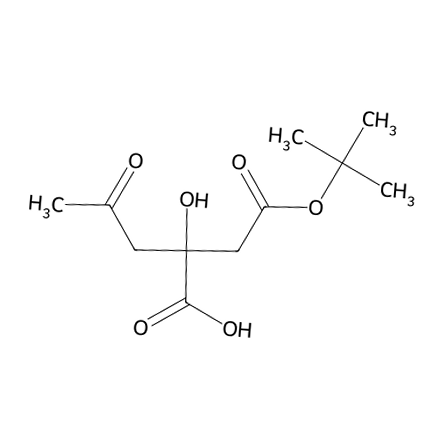 CC(=O)CC(O)(CC(=O)OC(C)(C)C)C(=O)O